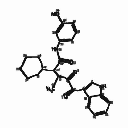 CN(C(=O)C(=O)c1c[nH]c2ccccc12)C(C(=O)Nc1cccc(O)c1)C1CCCCC1